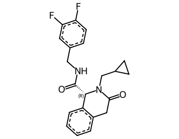 O=C(NCc1ccc(F)c(F)c1)[C@H]1c2ccccc2CC(=O)N1CC1CC1